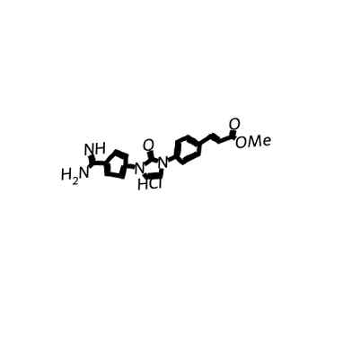 COC(=O)C=Cc1ccc(-n2ccn(-c3ccc(C(=N)N)cc3)c2=O)cc1.Cl